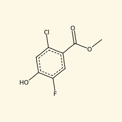 COC(=O)c1cc(F)c(O)cc1Cl